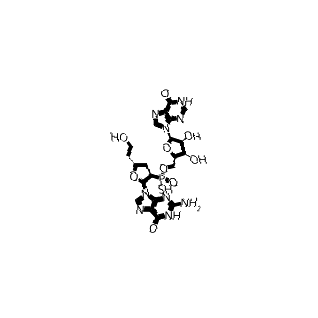 Nc1nc2c(ncn2C2O[C@H](CCO)C[C@H]2[P@](=O)(S)OC[C@H]2O[C@@H](n3cnc4c(=O)[nH]cnc43)[C@H](O)[C@@H]2O)c(=O)[nH]1